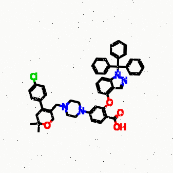 CC1(C)CC(c2ccc(Cl)cc2)=C(CN2CCN(c3ccc(C(=O)O)c(Oc4cccc5c4cnn5C(c4ccccc4)(c4ccccc4)c4ccccc4)c3)CC2)CO1